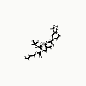 CCCCOC(=O)N(Cc1cnc(N2CCN[C@H](CO)C2)nc1)C(=O)OC(C)(C)C